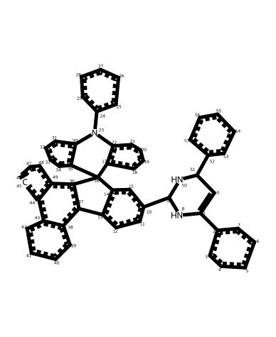 C1=C(c2ccccc2)NC(c2ccc3c(c2)C2(c4ccccc4N(c4ccccc4)c4ccccc42)c2c-3c3ccccc3c3ccccc23)NC1c1ccccc1